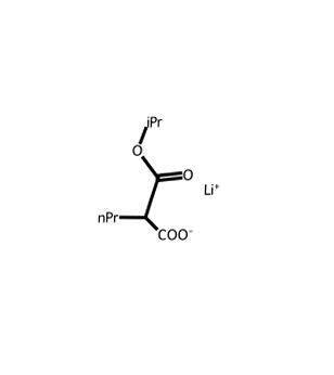 CCCC(C(=O)[O-])C(=O)OC(C)C.[Li+]